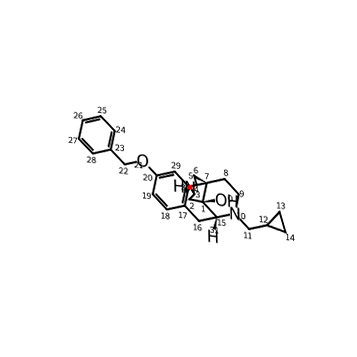 O[C@@]12CCNCC[C@@]13CCN(CC1CC1)[C@@H]2Cc1ccc(OCc2ccccc2)cc13